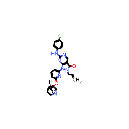 C=CCn1c(=O)c2cnc(Nc3ccc(Cl)cc3)nc2n1-c1cccc(O[C@H]2CN3CCC2CC3)n1